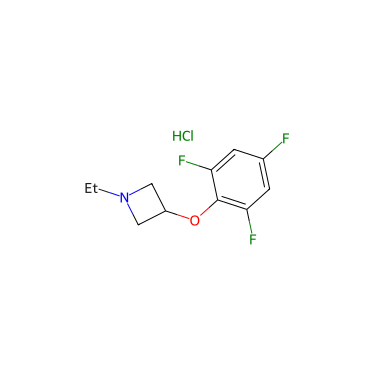 CCN1CC(Oc2c(F)cc(F)cc2F)C1.Cl